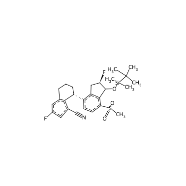 CC(C)(C)[Si](C)(C)OC1c2c(S(C)(=O)=O)ccc([C@H]3CCCc4cc(F)cc(C#N)c43)c2C[C@H]1F